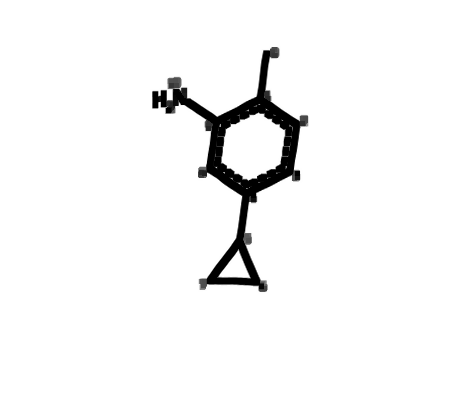 Cc1ccc(C2CC2)cc1N